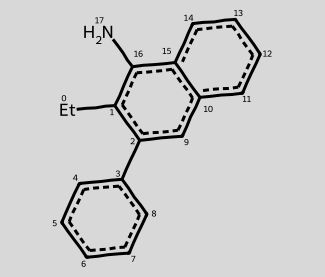 CCc1c(-c2ccccc2)cc2ccccc2c1N